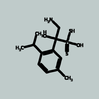 Cc1ccc(C(C)C)c(C(O)(CN)P(O)(=S)S)c1